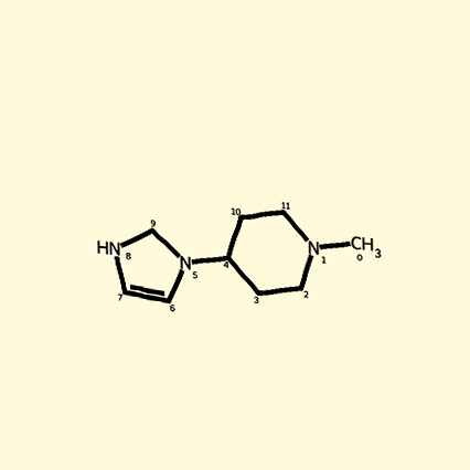 CN1CCC(N2C=CNC2)CC1